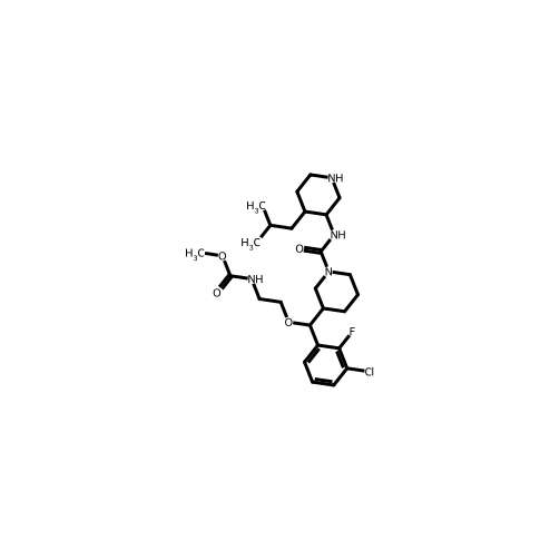 COC(=O)NCCOC(c1cccc(Cl)c1F)C1CCCN(C(=O)NC2CNCCC2CC(C)C)C1